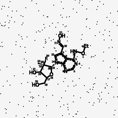 CCONc1ncnc2c1c(C=NO)cn2[C@@H]1OC(CO)C(O)[C@@]1(C)F